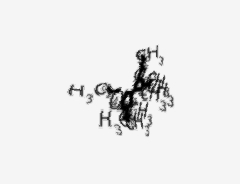 CCCCOc1cc(-c2[c]c(C(C)(C)C)cc(OCCCC)c2)[c]c(C(C)(C)C)c1